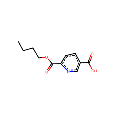 CCCCOC(=O)c1ccc(C(=O)O)cn1